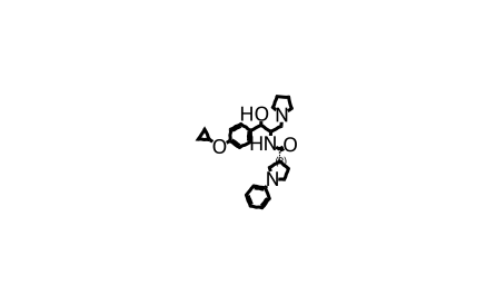 O=C(NC(CN1CCCC1)C(O)c1ccc(OC2CC2)cc1)[C@@H]1CCN(c2ccccc2)C1